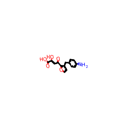 Nc1ccc(Cc2ccoc2C(=O)/C=C(\O)C(=O)O)cc1